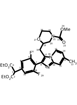 CCOC(=O)C(C(=O)OCC)c1cc(F)c(-c2nc3cc(C)ccn3c2CC2CN(C(=O)OC)CCO2)c(F)c1